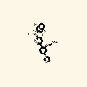 COCOc1cc(-n2ccnc2)ccc1-c1ccc(N(C)[C@@H]2C[C@H]3CC[C@@H]([C@@H]2F)N3C(=O)O)nn1